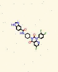 O=C(N[C@H]1CC[C@@H](n2c(=O)c3cc(F)cnc3n(-c3ccc(F)c(F)c3)c2=O)CC1)c1ccc2[nH]cnc2c1